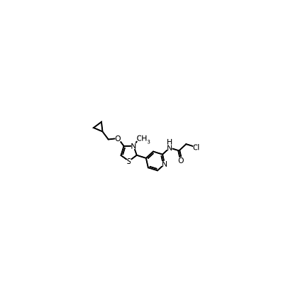 CN1C(OCC2CC2)=CSC1c1ccnc(NC(=O)CCl)c1